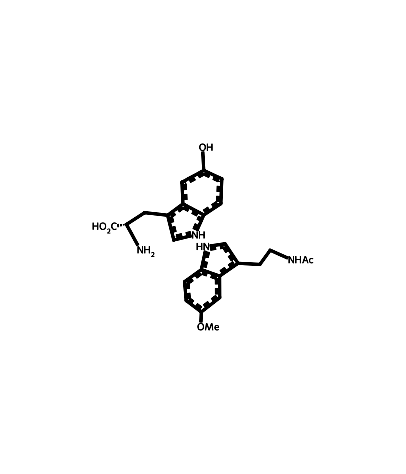 COc1ccc2[nH]cc(CCNC(C)=O)c2c1.N[C@@H](Cc1c[nH]c2ccc(O)cc12)C(=O)O